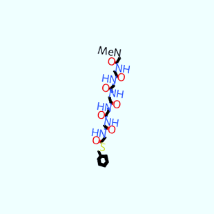 CNCC(=O)NCC(=O)NCC(=O)NCC(=O)NCC(=O)NCC(=O)NCC(=O)SCc1ccccc1